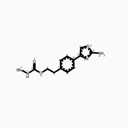 CC(C)(C)NC(=O)OCCc1ccc(-c2csc(N)n2)cc1